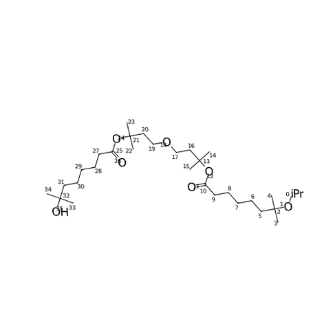 CC(C)OC(C)(C)CCCCCC(=O)OC(C)(C)CCOCCC(C)(C)OC(=O)CCCCCC(C)(C)O